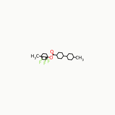 CC1CCC(C2CCC(C(=O)OC34CCC(C)(CC3)C(F)C4(F)F)CC2)CC1